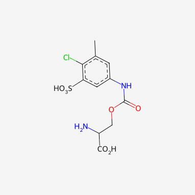 Cc1cc(NC(=O)OCC(N)C(=O)O)cc(S(=O)(=O)O)c1Cl